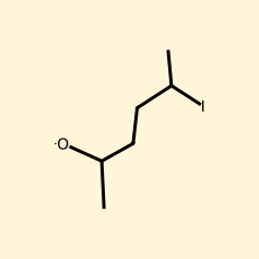 CC([O])CCC(C)I